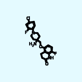 NC1(COc2ccc(F)c3c2CCC(=O)N3)CCN(c2ccc(Cl)cc2F)CC1